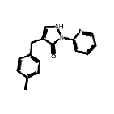 Cc1ccc(Cc2c[nH]n(-c3ccccn3)c2=O)cc1